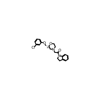 O=C(CN1CCO[C@@H](COc2cccc(Cl)c2)C1)N1CCc2ccccc21